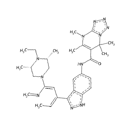 C=N/C(=C\C(=C/C)c1n[nH]c2ccc(NC(=O)C3=C(C)N(C)c4nnnn4C3(C)C)cc12)N1C[C@@H](C)N(CC)[C@@H](C)C1